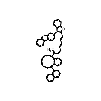 C=C(\C=C/C=C/C=C/c1oc2ccccc2c1-c1ccc2c(c1)oc1ccccc12)c1ccccccc(-c2cccc3ccccc23)c2ccccc12